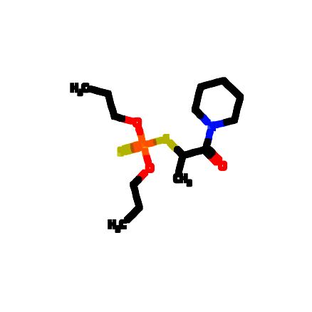 CCCOP(=S)(OCCC)SC(C)C(=O)N1CCCCC1